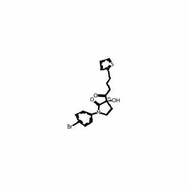 O=C(CCCc1cccs1)[C@]1(O)CCN(c2ccc(Br)cc2)C1=O